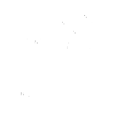 CCN(CC)CCCCC1CCCN(CCCC(=O)N2c3ccccc3C(=O)Nc3cccnc32)C1